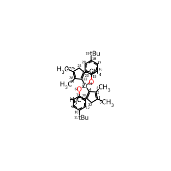 CC1=C(C)[C]([Zr]([O]c2ccc(C(C)(C)C)cc2)([O]c2ccc(C(C)(C)C)cc2)[C]2=C(C)CC(C)=C2C)=C(C)C1